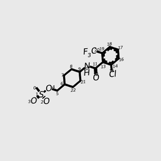 CS(=O)(=O)OCC1CCC(NC(=O)c2c(Cl)cccc2C(F)(F)F)CC1